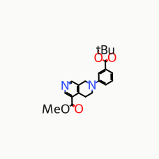 COC(=O)c1cncc2c1CCN(c1cccc(C(=O)OC(C)(C)C)c1)C2